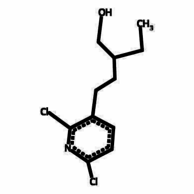 CCC(CO)CCc1ccc(Cl)nc1Cl